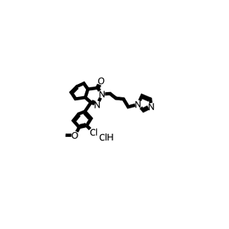 COc1ccc(C2=NN(CCCCn3ccnc3)C(=O)C3CC=CCC23)cc1Cl.Cl